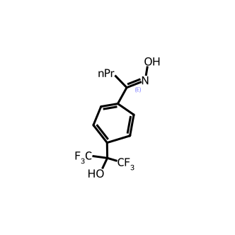 CCC/C(=N\O)c1ccc(C(O)(C(F)(F)F)C(F)(F)F)cc1